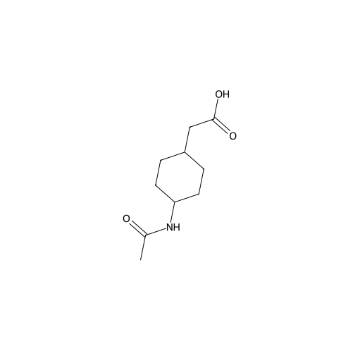 CC(=O)NC1CCC(CC(=O)O)CC1